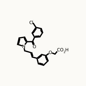 O=C(O)COc1cccc(/C=C/Cn2cccc2C(=O)c2cccc(Cl)c2)c1